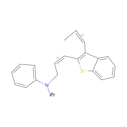 C/C=C\c1c(/C=C\CN(c2ccccc2)C(C)C)sc2ccccc12